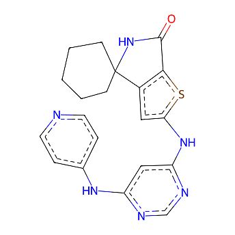 O=C1NC2(CCCCC2)c2cc(Nc3cc(Nc4ccncc4)ncn3)sc21